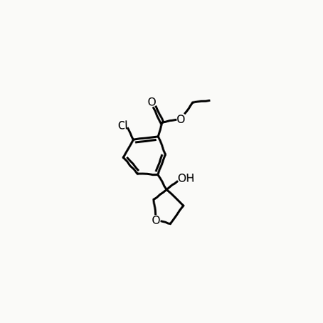 CCOC(=O)c1cc(C2(O)CCOC2)ccc1Cl